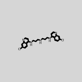 Clc1ccc2c(NCCCNCCCNc3ccnc4cc(Cl)ccc34)ccnc2c1